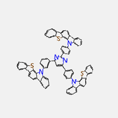 c1cc(-c2cc(-c3ccc(-n4c5ccccc5c5ccc6c7ccccc7sc6c54)cc3)nc(-c3ccc(-n4c5ccccc5c5ccc6c7ccccc7sc6c54)cc3)n2)cc(-n2c3ccccc3c3ccc4c5ccccc5sc4c32)c1